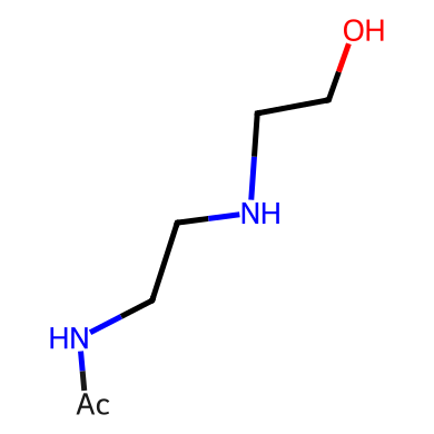 CC(=O)NCCNCCO